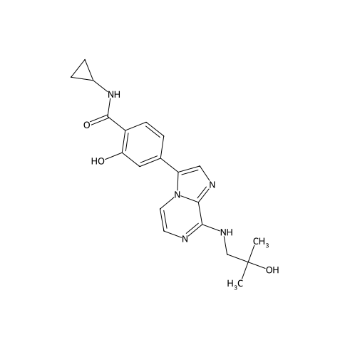 CC(C)(O)CNc1nccn2c(-c3ccc(C(=O)NC4CC4)c(O)c3)cnc12